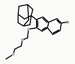 COCCOCOc1cc2ccc(Br)cc2cc1C12CC3CC(CC(C3)C1)C2